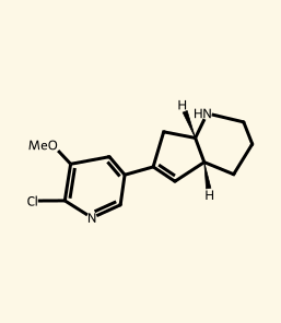 COc1cc(C2=C[C@H]3CCCN[C@H]3C2)cnc1Cl